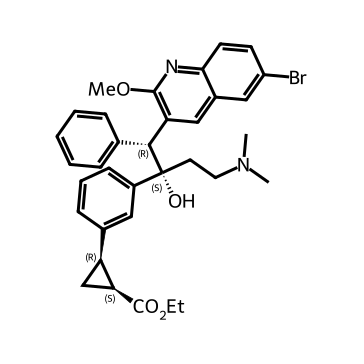 CCOC(=O)[C@H]1C[C@H]1c1cccc([C@](O)(CCN(C)C)[C@H](c2ccccc2)c2cc3cc(Br)ccc3nc2OC)c1